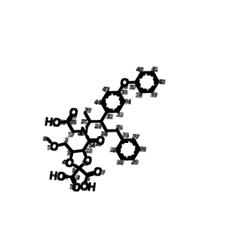 COCC1OC(C(=O)O)(C(=O)O)OC1C(=O)N(CC(=O)O)C(C)C(CCc1ccccc1)c1ccc(Oc2ccccc2)cc1